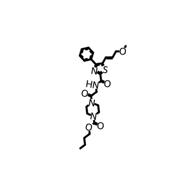 CCCCOC(=O)N1CCN(C(=O)CNC(=O)c2nc(-c3ccccc3)c(C=CCOC)s2)CC1